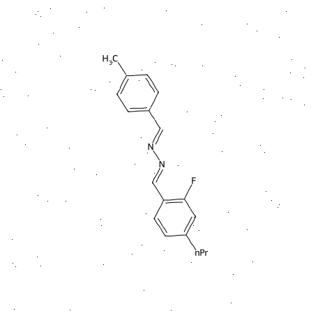 CCCc1ccc(/C=N/N=C/c2ccc(C)cc2)c(F)c1